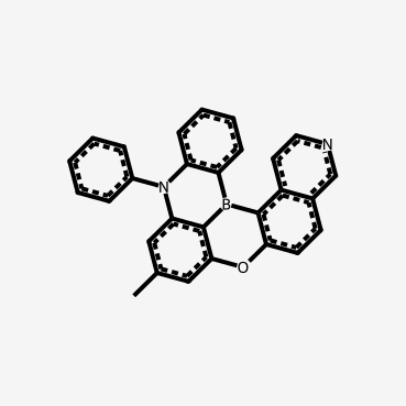 Cc1cc2c3c(c1)N(c1ccccc1)c1ccccc1B3c1c(ccc3cnccc13)O2